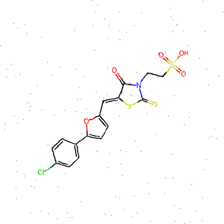 O=C1C(=Cc2ccc(-c3ccc(Cl)cc3)o2)SC(=S)N1CCS(=O)(=O)O